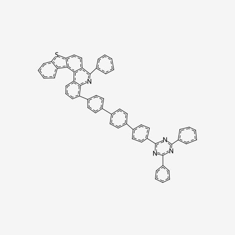 c1ccc(-c2nc(-c3ccccc3)nc(-c3ccc(-c4ccc(-c5ccc(-c6cccc7c6nc(-c6ccccc6)c6ccc8sc9ccccc9c8c67)cc5)cc4)cc3)n2)cc1